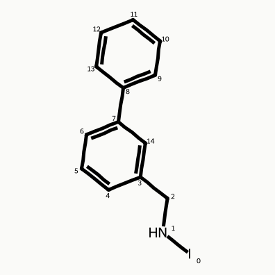 INCc1cccc(-c2ccccc2)c1